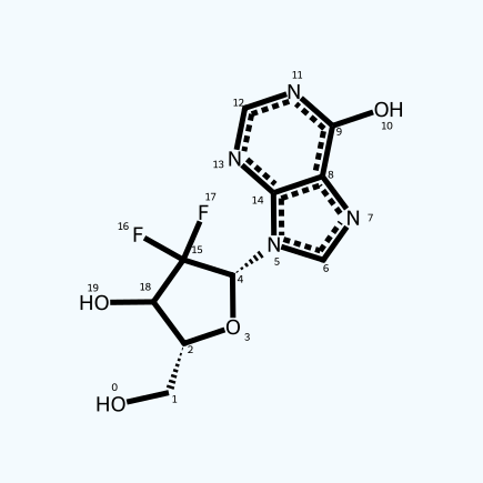 OC[C@H]1O[C@@H](n2cnc3c(O)ncnc32)C(F)(F)C1O